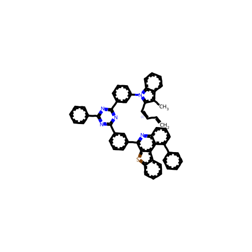 C=C/C=C\c1c(C)c2ccccc2n1-c1cccc(-c2nc(-c3ccccc3)nc(-c3cccc(-c4nc5cccc(-c6ccccc6)c5c5c4sc4ccccc45)c3)n2)c1